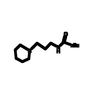 CCCCC(=O)NCCCN1CCCCC1